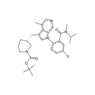 Cc1cncc2c1c(C[C@H]1CCCN(C(=O)OC(C)(C)C)C1)cn2-c1ccc(F)cc1C(=O)N(C)C(C)C